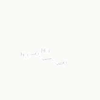 COCCC=O.Cl